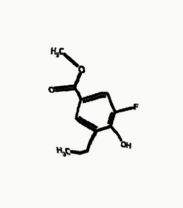 CCc1cc(C(=O)OC)cc(F)c1O